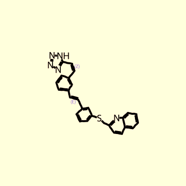 C(=C/c1nnn[nH]1)/c1cccc(/C=C/c2cccc(SCc3ccc4ccccc4n3)c2)c1